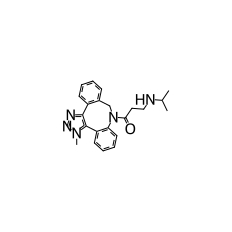 CC(C)NCCC(=O)N1Cc2ccccc2-c2nnn(C)c2-c2ccccc21